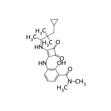 CC(Nc1c(Nc2cccc(C(=O)N(C)C)c2O)c(=O)c1=O)C(C)(C)CC1CC1